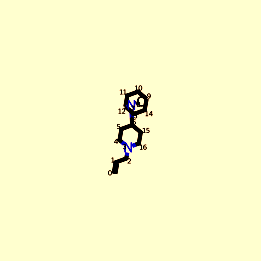 C=CCN1CCC(N2CC3CCC2CC3)CC1